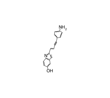 Nc1ccc(C#CC=Cc2nc3ccc(O)cc3s2)cc1